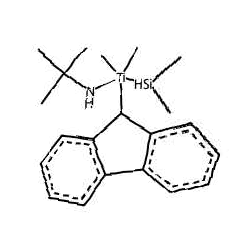 C[SiH](C)[Ti]([CH3])([CH3])([NH]C(C)(C)C)[CH]1c2ccccc2-c2ccccc21